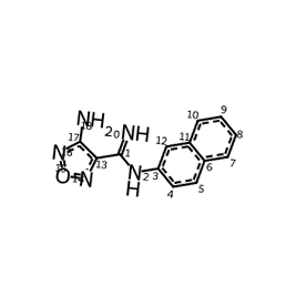 N=C(Nc1ccc2ccccc2c1)c1nonc1N